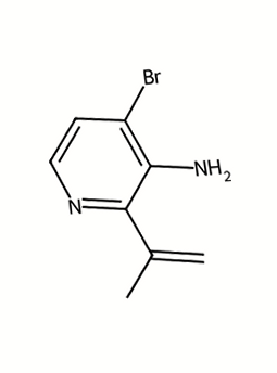 C=C(C)c1nccc(Br)c1N